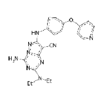 CCN(CC)c1nc(N)n2nc(Nc3ccc(Oc4ccncc4)cc3)c(C#N)c2n1